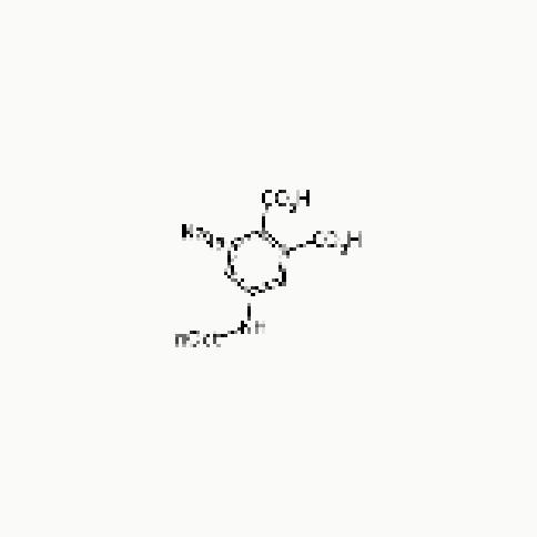 CCCCCCCCNc1ccc(C(=O)O)c(C(=O)O)c1.[Na].[Na]